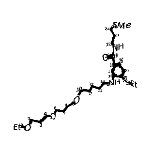 CCOCCCOCCCOCCCCCNc1cc(C(=O)NCCCSC)ccc1SCC